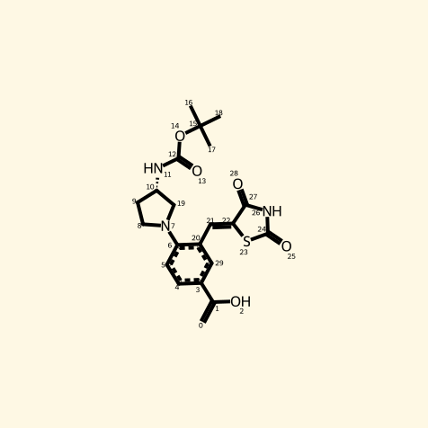 C=C(O)c1ccc(N2CC[C@H](NC(=O)OC(C)(C)C)C2)c(/C=C2\SC(=O)NC2=O)c1